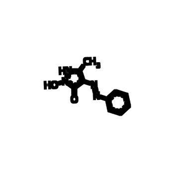 Cc1[nH]n(O)c(=O)c1N=Nc1ccccc1